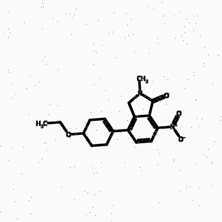 CCOC1CC=C(c2ccc([N+](=O)[O-])c3c2CN(C)C3=O)CC1